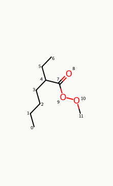 CCCCC(CC)C(=O)OOC